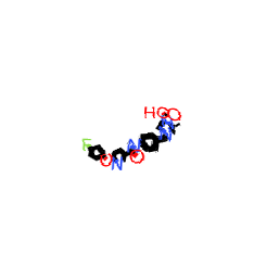 C[C@H]1CN(Cc2ccc(N(C)C(=O)c3ccc(Oc4ccc(F)cc4)nc3)cc2)CCN1C(=O)O